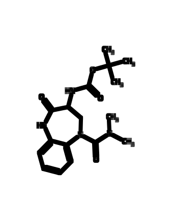 CN(C)C(=O)N1CC(NC(=O)OC(C)(C)C)C(=O)Nc2ccccc21